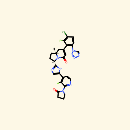 O=C1CCCN1c1nccc(-c2cnc([C@@H]3CC[C@H]4CC(c5c(-n6cnnn6)ccc(Cl)c5F)=CC(=O)N43)[nH]2)c1F